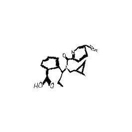 CCC(c1ccccc1C(=O)O)N(CC1CC1)C(=O)c1ccc(Br)cn1